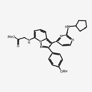 COC(=O)CNc1cccc2c(-c3ccnc(NC4CCCC4)n3)c(-c3ccc(OC)cc3)nn12